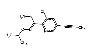 CC#Cc1cnc(C(CN)=NOC(C)C)c(Cl)c1